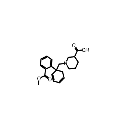 COC(=O)c1ccccc1C1(CN2CCCC(C(=O)O)C2)C=CC=CC1